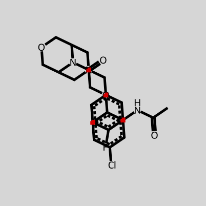 CC(=O)Nc1cc(Cl)ccc1OCC(=O)N1C2COCC1CN(Cc1ccc(F)cc1)C2